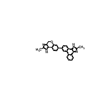 Cc1nc2c([nH]1)-c1ccc(-c3ccc4c(c3)c3ccccc3c3nc(C)[nH]c43)cc1OC2